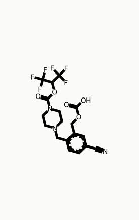 N#Cc1ccc(CN2CCN(C(=O)OC(C(F)(F)F)C(F)(F)F)CC2)c(COC(=O)O)c1